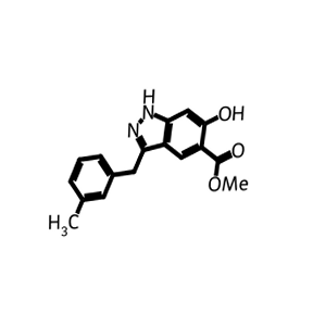 COC(=O)c1cc2c(Cc3cccc(C)c3)n[nH]c2cc1O